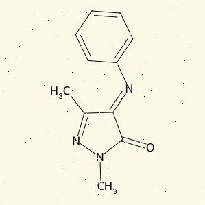 CC1=NN(C)C(=O)C1=Nc1ccccc1